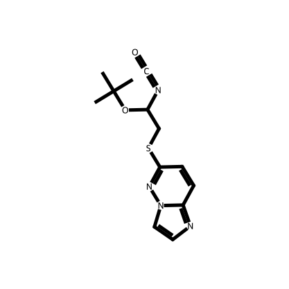 CC(C)(C)OC(CSc1ccc2nccn2n1)N=C=O